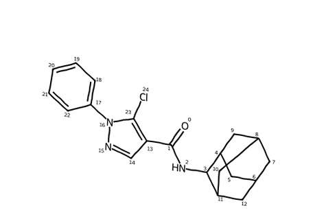 O=C(NC1C2CC3CC(C2)CC1C3)c1cnn(-c2ccccc2)c1Cl